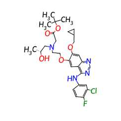 C[C@@H](O)CN(CCOc1cc2c(Nc3ccc(F)c(Cl)c3)ncnc2cc1OCC1CC1)CC(=O)OC(C)(C)C